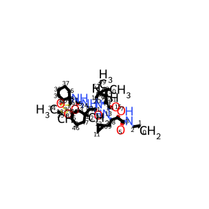 C=CCNC(=O)C(=O)C(CC1CC1)NC(=O)[C@@H]1[C@@H]2[C@H](CN1C(=O)[C@@H](NC(=O)NC1(CS(=O)(=O)C(C)C)CCCCC1)C1(C)CCCCC1)C2(C)C